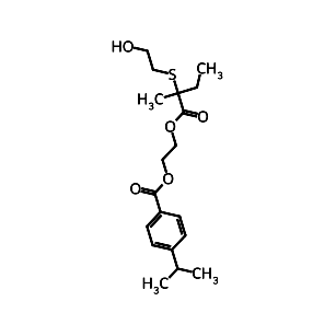 CCC(C)(SCCO)C(=O)OCCOC(=O)c1ccc(C(C)C)cc1